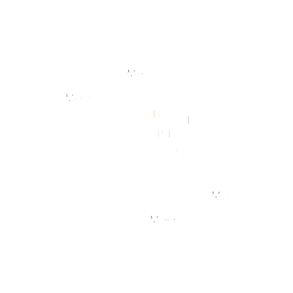 COC(C[PH][Pd]([Cl])([Cl])[PH]CC(OC)OC)OC